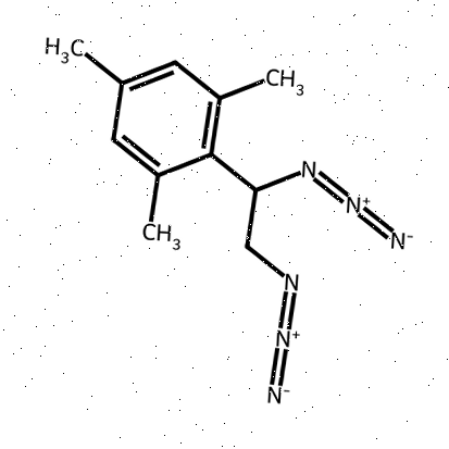 Cc1cc(C)c(C(CN=[N+]=[N-])N=[N+]=[N-])c(C)c1